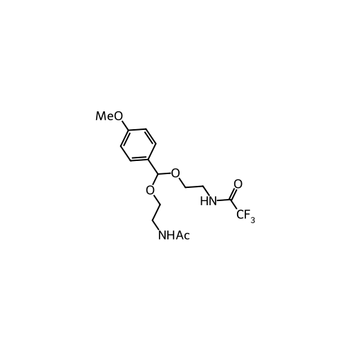 COc1ccc(C(OCCNC(C)=O)OCCNC(=O)C(F)(F)F)cc1